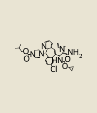 C=CN(C)/C(=C\N)[C@H](NC(=O)OC1CC1)C1=Cc2cccnc2[C@@H](N2CCN(C(=O)OCC(C)C)CC2)c2ccc(Cl)cc21